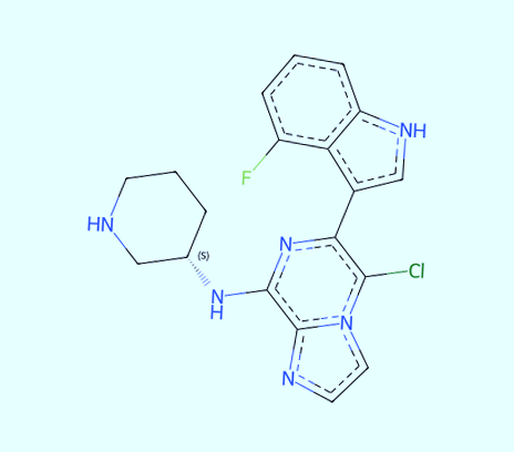 Fc1cccc2[nH]cc(-c3nc(N[C@H]4CCCNC4)c4nccn4c3Cl)c12